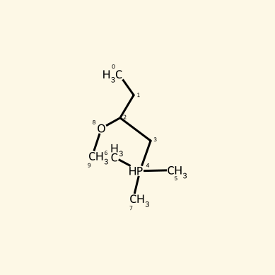 CCC(C[PH](C)(C)C)OC